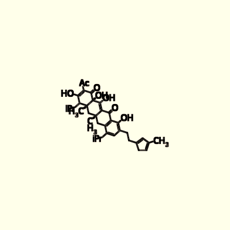 CC(=O)C1=C(O)C(C(C)C)[C@@]2(C)C[C@@]3(C)Cc4c(C(C)C)cc(CCC5=CC(C)=CC5)c(O)c4C(=O)C3=C(O)[C@@]2(O)C1=O